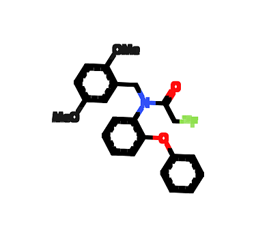 COc1ccc(OC)c(CN(C(=O)C[18F])c2ccccc2Oc2ccccc2)c1